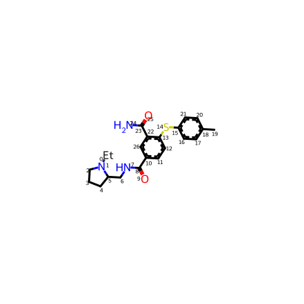 CCN1CCCC1CNC(=O)c1ccc(Sc2ccc(C)cc2)c(C(N)=O)c1